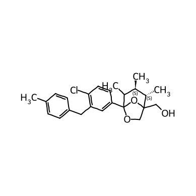 Cc1ccc(Cc2cc(C34OCC(CO)(O3)[C@@H](C)[C@H](C)C4C)ccc2Cl)cc1